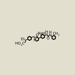 CC[C@H](CC(=O)O)c1ccc(Cn2nccc(-c3ccc(NC(=O)Nc4ccccc4C)cc3)c2=O)cc1.[NaH]